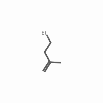 [CH2]CCCC(=C)C